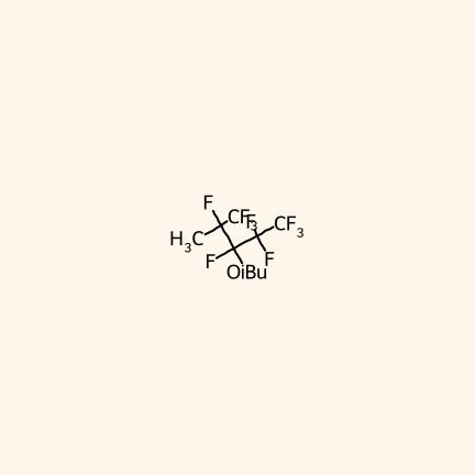 CC(C)COC(F)(C(C)(F)C(F)(F)F)C(F)(F)C(F)(F)F